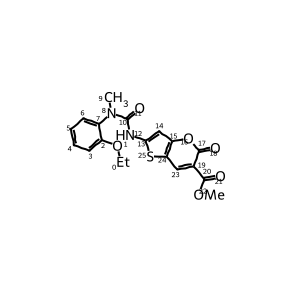 CCOc1ccccc1N(C)C(=O)Nc1cc2oc(=O)c(C(=O)OC)cc2s1